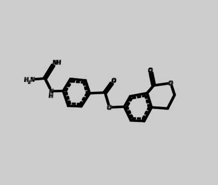 N=C(N)Nc1ccc(C(=O)Oc2ccc3c(c2)C(=O)OCC3)cc1